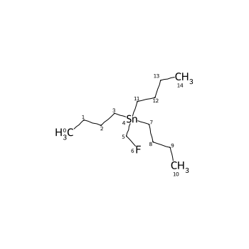 CCC[CH2][Sn]([CH2]F)([CH2]CCC)[CH2]CCC